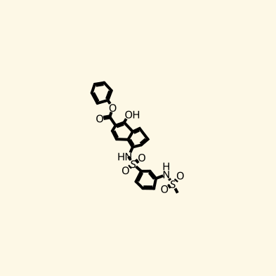 CS(=O)(=O)Nc1cccc(S(=O)(=O)Nc2cccc3c(O)c(C(=O)Oc4ccccc4)ccc23)c1